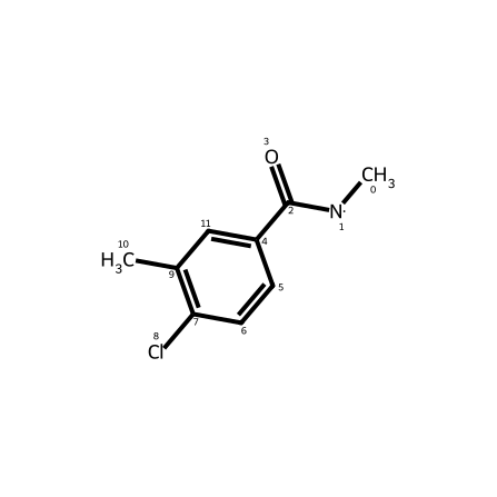 C[N]C(=O)c1ccc(Cl)c(C)c1